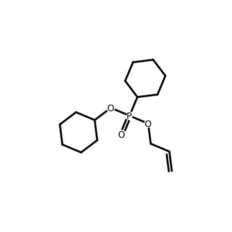 C=CCOP(=O)(OC1CCCCC1)C1CCCCC1